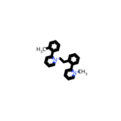 Cc1ccccc1-c1cccc[n+]1CCc1ccccc1-c1cccc[n+]1C